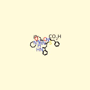 CC(C)C[C@H](NC(=O)N1CCCCCC1)C(=O)N[C@H](Cc1c[nH]c2ccccc12)c1nc(C(=O)O)c(Cc2ccccc2)s1